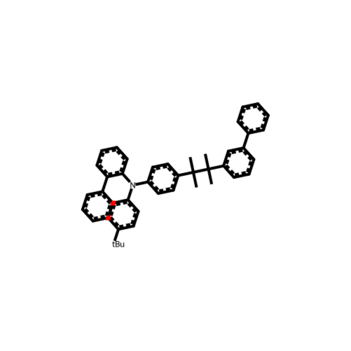 CC(C)(C)c1ccc(N(c2ccc(C(C)(C)C(C)(C)c3cccc(-c4ccccc4)c3)cc2)c2ccccc2-c2ccccc2)cc1